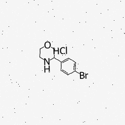 Brc1ccc(C2COCCN2)cc1.Cl